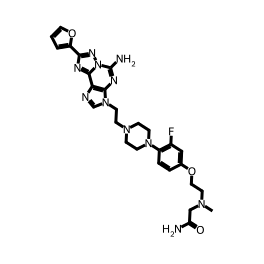 CN(CCOc1ccc(N2CCN(CCn3cnc4c3nc(N)n3nc(-c5ccco5)nc43)CC2)c(F)c1)CC(N)=O